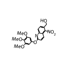 COc1cc(Oc2ccc3c([N+](=O)[O-])c(CO)ccc3n2)cc(OC)c1OC